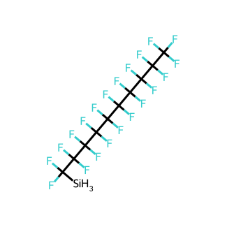 FC(F)(F)C(F)(F)C(F)(F)C(F)(F)C(F)(F)C(F)(F)C(F)(F)C(F)(F)C(F)(F)C(F)(F)[SiH3]